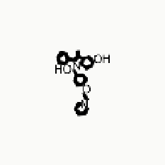 Cc1c(-c2ccccc2O)n(Cc2ccc(OCCN3CCCCC3)cc2)c2ccc(O)cc12